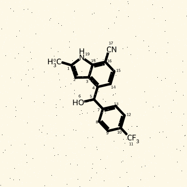 Cc1cc2c(C(O)c3ccc(C(F)(F)F)cc3)ccc(C#N)c2[nH]1